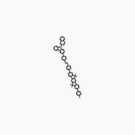 Cc1ccc(-c2ccc3c(c2)C(C)(C)c2cc4c(cc2-3)C(C)(C)c2cc(-c3ccc(/C=C/c5ccc(-c6ccc7c(c6)c6ccccc6n7-c6ccc7ccccc7c6)cc5)cc3)ccc2-4)cc1